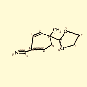 CC1(C2OCCO2)C=CC(C#N)=CC1